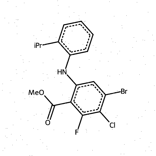 COC(=O)c1c(Nc2ccccc2C(C)C)cc(Br)c(Cl)c1F